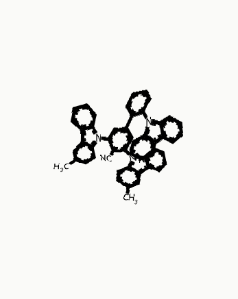 Cc1ccc2c(c1)c1ccccc1n2-c1cc(-c2ccccc2-n2c3ccccc3c3cnccc32)cc(-n2c3ccccc3c3cc(C)ccc32)c1C#N